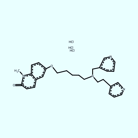 Cl.Cl.Cl.Cn1c(=O)ccc2cc(OCCCCCN(CCc3cccnc3)Cc3cccnc3)ccc21